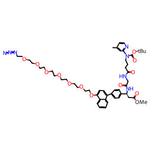 COC(=O)C[C@H](NC(=O)CNC(=O)CCCN(C(=O)OC(C)(C)C)c1cc(C)ccn1)c1ccc(-c2ccc(OCCOCCOCCOCCOCCOCCOCCN=[N+]=[N-])c3ccccc23)cc1